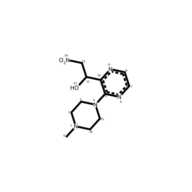 CN1CCN(c2nccnc2C(O)C[N+](=O)[O-])CC1